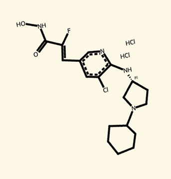 Cl.Cl.O=C(NO)C(F)=Cc1cnc(N[C@@H]2CCN(C3CCCCC3)C2)c(Cl)c1